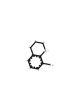 Ic1cccc2c1SCCC2